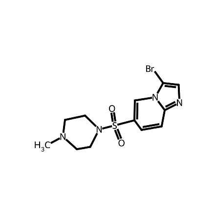 CN1CCN(S(=O)(=O)c2ccc3ncc(Br)n3c2)CC1